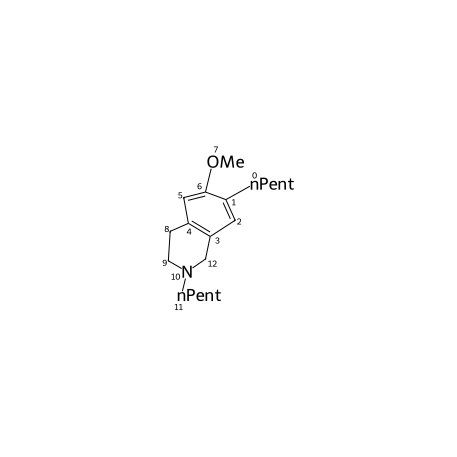 CCCCCc1cc2c(cc1OC)CCN(CCCCC)C2